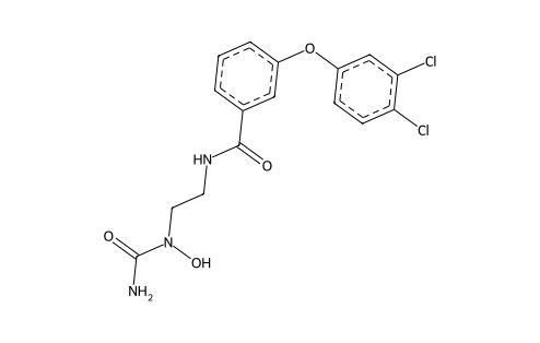 NC(=O)N(O)CCNC(=O)c1cccc(Oc2ccc(Cl)c(Cl)c2)c1